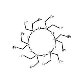 CC(C)C[Si]1(CC(C)C)O[Si](CC(C)C)(CC(C)C)O[Si](CC(C)C)(CC(C)C)O[Si](CC(C)C)(CC(C)C)O[Si](CC(C)C)(CC(C)C)O[Si](CC(C)C)(CC(C)C)O1